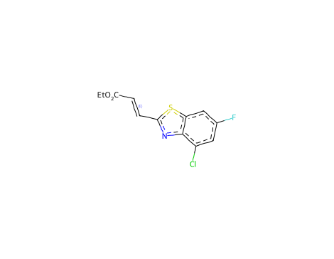 CCOC(=O)/C=C/c1nc2c(Cl)cc(F)cc2s1